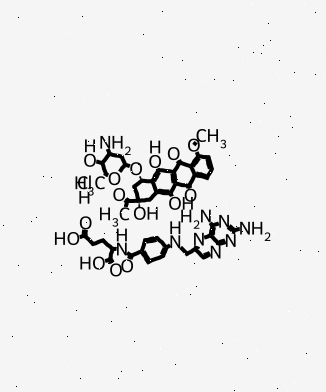 COc1cccc2c1C(=O)c1c(O)c3c(c(O)c1C2=O)C[C@@](O)(C(C)=O)C[C@@H]3OC1CC(N)C(O)C(C)O1.Cl.Nc1nc(N)c2nc(CNc3ccc(C(=O)NC(CCC(=O)O)C(=O)O)cc3)cnc2n1